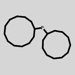 C1CCCCCC([P]C2CCCCCCCCCC2)CCCCC1